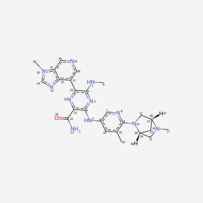 CNc1nc(Nc2cnc(N3C[C@H]4C[C@@H]3CN4C)c(C)c2)c(C(N)=O)nc1-c1cncc2c1ncn2C